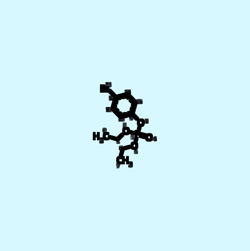 CCOP(=O)(OCC)Oc1ccc(Br)cc1